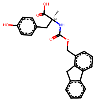 C[C@@](Cc1ccc(O)cc1)(NC(=O)OCc1cccc2c1Cc1ccccc1-2)C(=O)O